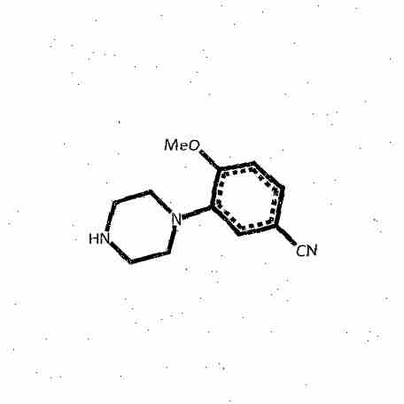 COc1ccc(C#N)cc1N1CCNCC1